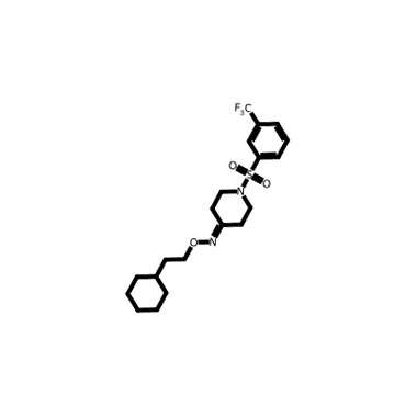 O=S(=O)(c1cccc(C(F)(F)F)c1)N1CCC(=NOCCC2CCCCC2)CC1